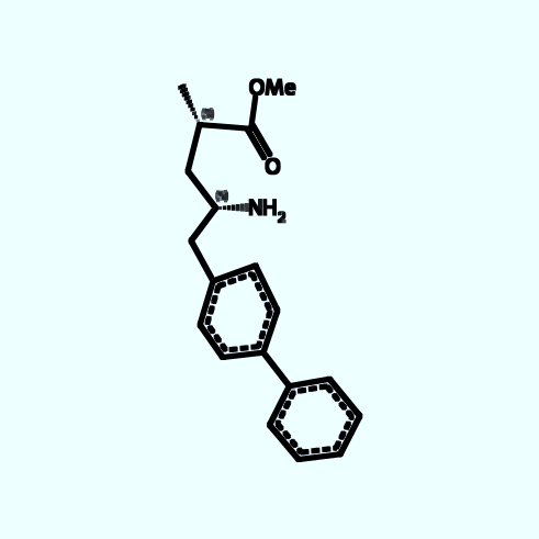 COC(=O)[C@@H](C)C[C@H](N)Cc1ccc(-c2ccccc2)cc1